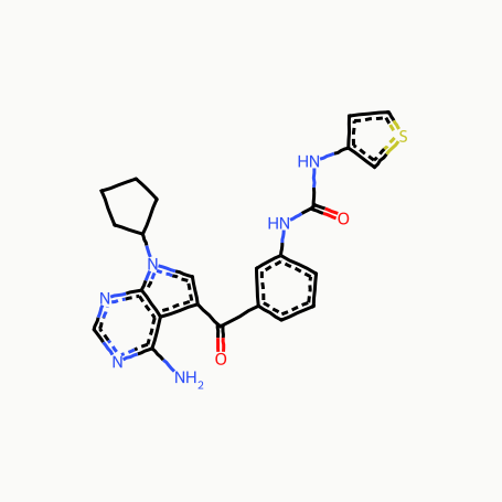 Nc1ncnc2c1c(C(=O)c1cccc(NC(=O)Nc3ccsc3)c1)cn2C1CCCC1